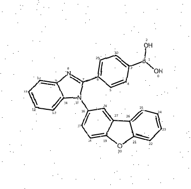 OB(O)c1ccc(-c2nc3ccccc3n2-c2ccc3oc4ccccc4c3c2)cc1